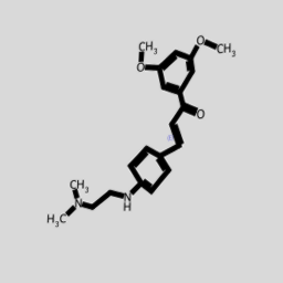 COc1cc(OC)cc(C(=O)/C=C/c2ccc(NCCN(C)C)cc2)c1